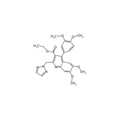 CCOC(=O)c1c(Cn2nccn2)nc2cc(OC)c(OC)cc2c1-c1ccc(OC)c(OC)c1